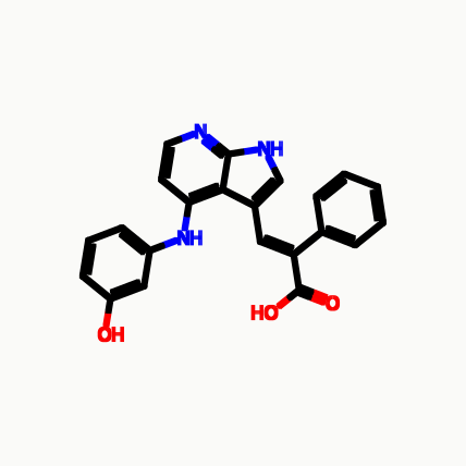 O=C(O)/C(=C/c1c[nH]c2nccc(Nc3cccc(O)c3)c12)c1ccccc1